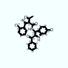 Cc1onc(-c2ccccc2Cl)c1C(=O)Nc1c(C(=O)c2ccccc2)[nH]c2cc(Cl)ccc12